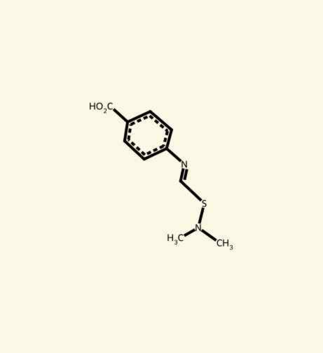 CN(C)SC=Nc1ccc(C(=O)O)cc1